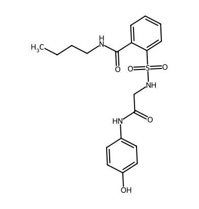 CCCCNC(=O)c1ccccc1S(=O)(=O)NCC(=O)Nc1ccc(O)cc1